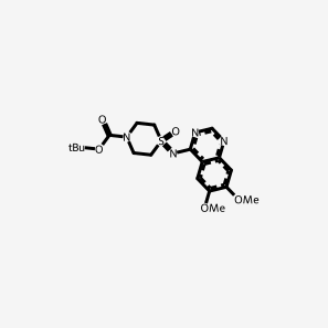 COc1cc2ncnc(N=S3(=O)CCN(C(=O)OC(C)(C)C)CC3)c2cc1OC